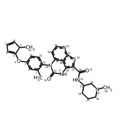 Cc1cc(OC2=CC=CC2C)ccc1N1C(=O)Nc2c(C(=O)NC3CCCN(C)C3)sc3nccc1c23